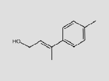 C/C(=C\CO)c1ccc(C)cc1